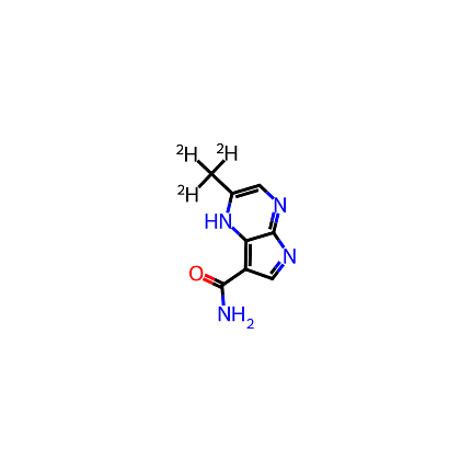 [2H]C([2H])([2H])c1cnc2ncc(C(N)=O)c-2[nH]1